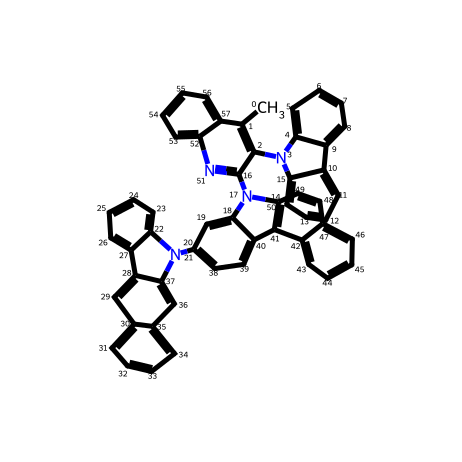 Cc1c(-n2c3ccccc3c3ccccc32)c(-n2c3cc(-n4c5ccccc5c5cc6ccccc6cc54)ccc3c3c4ccccc4ccc32)nc2ccccc12